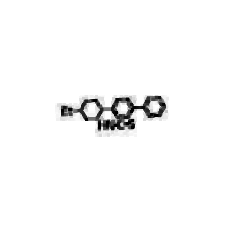 CCC1CCC(c2ccc(-c3ccccc3)cc2)CC1.N=C=S